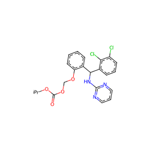 CC(C)OC(=O)OCOc1ccccc1C(Nc1ncccn1)c1cccc(Cl)c1Cl